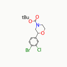 CC(C)(C)OC(=O)N1CCOC(c2ccc(Br)c(Cl)c2)C1